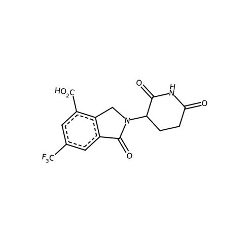 O=C1CCC(N2Cc3c(C(=O)O)cc(C(F)(F)F)cc3C2=O)C(=O)N1